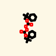 CC(C)(C)C1(OC(=O)OOC(=O)OC2(C(C)(C)C)CCCCC2)CCCCC1